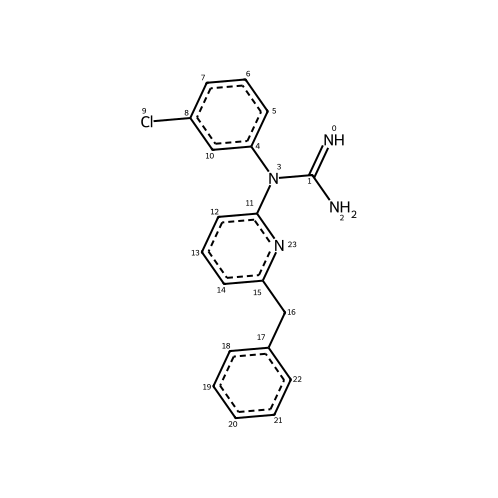 N=C(N)N(c1cccc(Cl)c1)c1cccc(Cc2ccccc2)n1